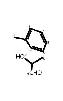 CC(O)C=O.Cc1ccccc1